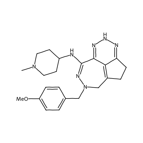 COc1ccc(CN2CC3=C4C(=NNN=C4C(NC4CCN(C)CC4)=N2)CC3)cc1